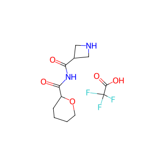 O=C(NC(=O)C1CCCCO1)C1CNC1.O=C(O)C(F)(F)F